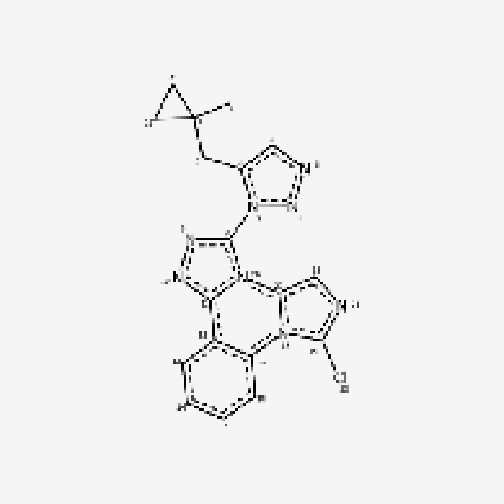 CC1(Cc2cnnn2-c2nnc3c4ccccc4n4c(Cl)ncc4n23)CC1